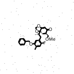 COC[C@H]1C[C@]2([C@@H](C)Cc3cc(OCc4ccccc4)c(C)cc3F)OCOC2=CC1=O